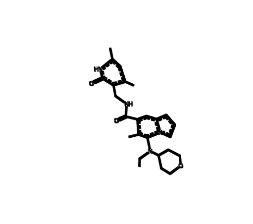 CCN(c1c(C)c(C(=O)NCc2c(C)cc(C)[nH]c2=O)cc2cccn12)C1CCOCC1